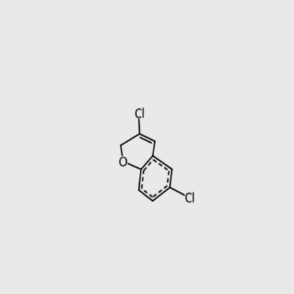 ClC1=Cc2cc(Cl)ccc2OC1